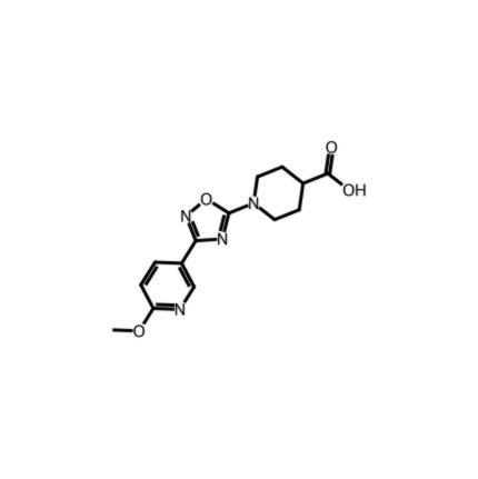 COc1ccc(-c2noc(N3CCC(C(=O)O)CC3)n2)cn1